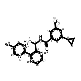 CC(NC(=O)c1cc(C2CC2)cc(C(F)(F)F)c1)c1nccnc1-c1ncc(Br)cn1